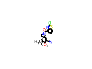 CC1(C)C[C@]2(C=C(C#N)C1=O)CCN(C(=O)c1cccc3sc(Cl)nc13)C2